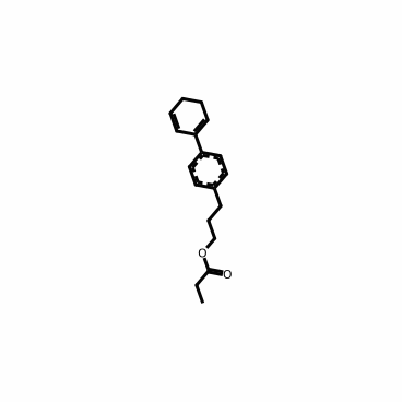 CCC(=O)OCCCc1ccc(C2=CCCC=C2)cc1